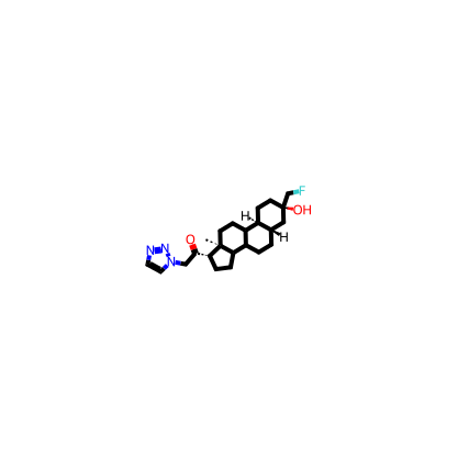 C[C@]12CCC3C(CC[C@H]4C[C@@](O)(CF)CC[C@H]34)C1CC[C@@H]2C(=O)Cn1ccnn1